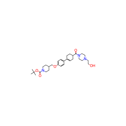 CC(C)(C)OC(=O)N1CCC(COc2ccc(C3=CCC(C(=O)N4CCN(CCO)CC4)CC3)cc2)CC1